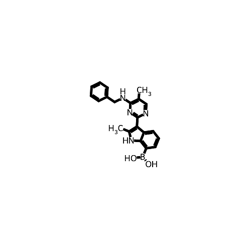 Cc1cnc(-c2c(C)[nH]c3c(B(O)O)cccc23)nc1NCc1ccccc1